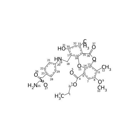 CCCOC(=O)c1cc(OC)c(C)c2c1Oc1c(CNc3ccc(S(N)(=O)=O)cc3)c(O)cc(C)c1C(=O)O2